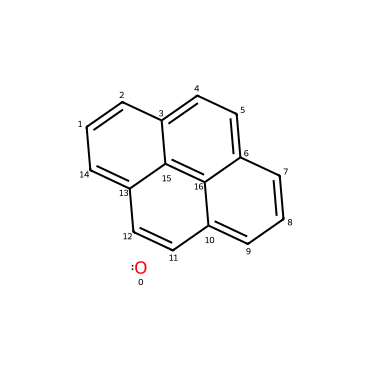 [O].c1cc2ccc3cccc4ccc(c1)c2c34